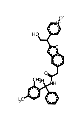 [2H]C(NC(=O)Cc1ccc2oc(C(CO)c3cc[n+]([O-])cc3)cc2c1)(c1ccccc1)c1ccc(C)cc1C